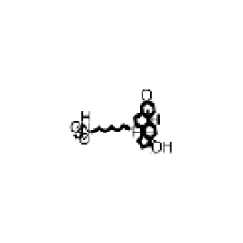 C[C@]12CCC(=O)C=C1C[C@@H](CCCCCCCNS(C)(=O)=O)[C@@H]1[C@@H]2CC[C@@]2(C)[C@H]1CC[C@]2(C)O